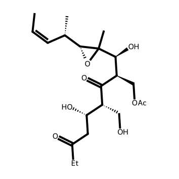 C/C=C\[C@H](C)[C@H]1OC1(C)[C@@H](O)[C@@H](COC(C)=O)C(=O)[C@H](CO)[C@@H](O)CC(=O)CC